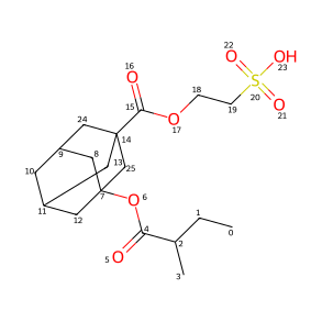 CCC(C)C(=O)OC12CC3CC(C1)CC(C(=O)OCCS(=O)(=O)O)(C3)C2